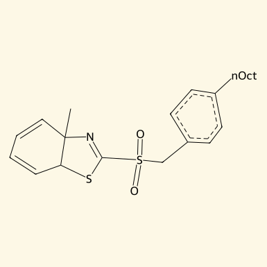 CCCCCCCCc1ccc(CS(=O)(=O)C2=NC3(C)C=CC=CC3S2)cc1